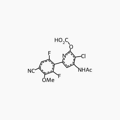 COc1c(C#N)cc(F)c(-c2cc(NC(C)=O)c(Cl)c(OC(=O)O)n2)c1F